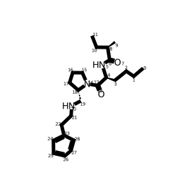 CCCC[C@H](NC(=O)[C@H](C)CC)C(=O)N1CCC[C@H]1CNCCc1ccccc1